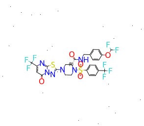 O=C(NCc1ccc(OC(F)F)cc1)[C@H]1CN(c2nn3c(=O)cc(C(F)(F)F)nc3s2)CCN1S(=O)(=O)c1ccc(C(F)(F)F)cc1